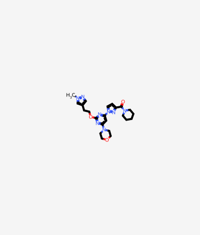 Cn1cc(CCOc2nc(N3CCOCC3)cc(-n3ccc(C(=O)N4CCCCC4)n3)n2)cn1